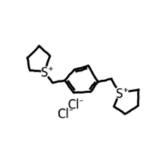 [Cl-].[Cl-].c1cc(C[S+]2CCCC2)ccc1C[S+]1CCCC1